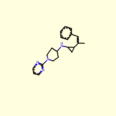 CC(=Cc1ccccc1)C1CC1NC1CCN(c2ncccn2)CC1